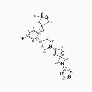 CC1(C)CC(Oc2ccc(F)cc2C2CCN(C3COC4(C3)CN(c3nnco3)C4)CC2)CO1